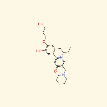 CCC1Cc2cc(OCCCO)c(O)cc2-c2cc(=O)c(CN3CCCCC3)cn21